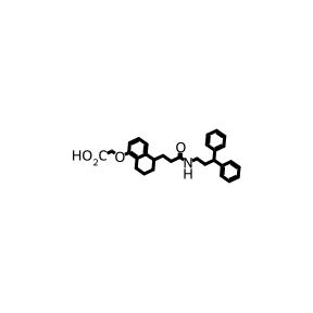 O=C(O)COc1cccc2c1CCCC2CCC(=O)NCCC(c1ccccc1)c1ccccc1